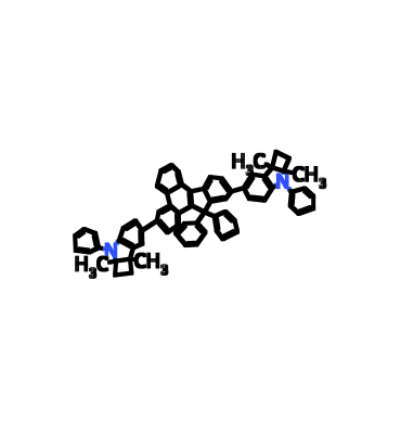 CC12CCC1(C)N(c1ccccc1)c1ccc(-c3ccc4c(c3)C(c3ccccc3)(c3ccccc3)c3c-4c4ccccc4c4cc(-c5ccc6c(c5)C5(C)CCC5(C)N6c5ccccc5)ccc34)cc12